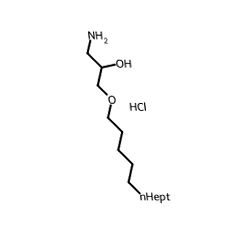 CCCCCCCCCCCCOCC(O)CN.Cl